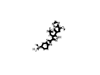 COc1cc(-c2[nH]nc(-c3nc4c(s3)CC(N(C)N)CC4)c2CC(F)(F)F)cn2ncnc12